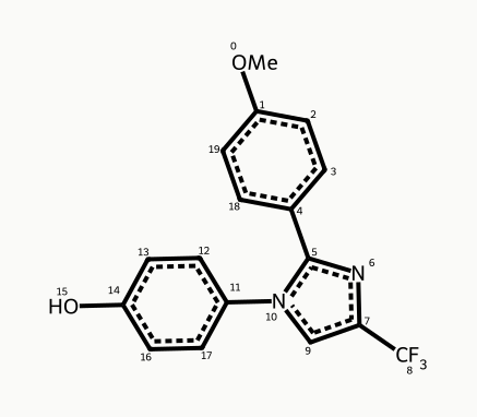 COc1ccc(-c2nc(C(F)(F)F)cn2-c2ccc(O)cc2)cc1